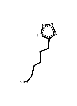 [CH2]CCCCCCCCCCc1nnn[nH]1